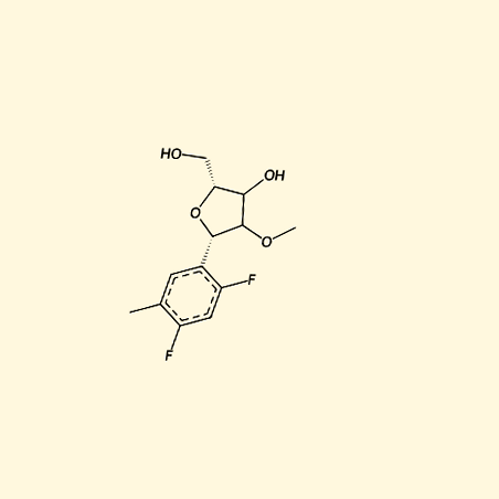 COC1C(O)[C@@H](CO)O[C@H]1c1cc(C)c(F)cc1F